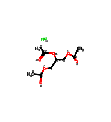 CC(=O)OCC(COC(C)=O)OC(C)=O.Cl